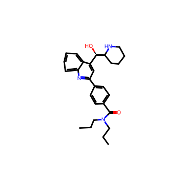 CCCN(CCC)C(=O)c1ccc(-c2cc([C@@H](O)C3CCCCN3)c3ccccc3n2)cc1